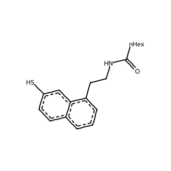 CCCCCCC(=O)NCCc1cccc2ccc(S)cc12